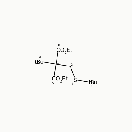 CCOC(=O)C(CSC(C)(C)C)(C(=O)OCC)C(C)(C)C